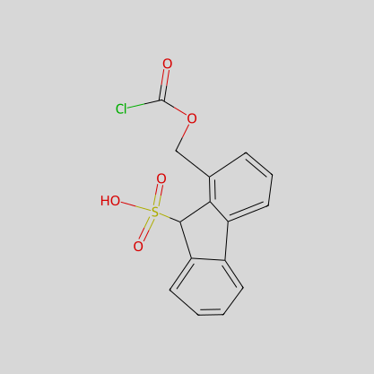 O=C(Cl)OCc1cccc2c1C(S(=O)(=O)O)c1ccccc1-2